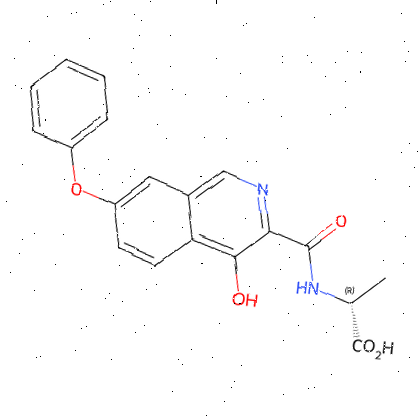 C[C@@H](NC(=O)c1ncc2cc(Oc3ccccc3)ccc2c1O)C(=O)O